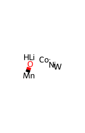 [Co].[LiH].[Ni].[O]=[Mn].[W]